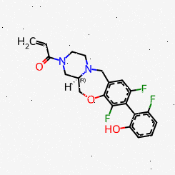 C=CC(=O)N1CCN2Cc3cc(F)c(-c4c(O)cccc4F)c(F)c3OC[C@H]2C1